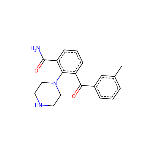 Cc1cccc(C(=O)c2cccc(C(N)=O)c2N2CCNCC2)c1